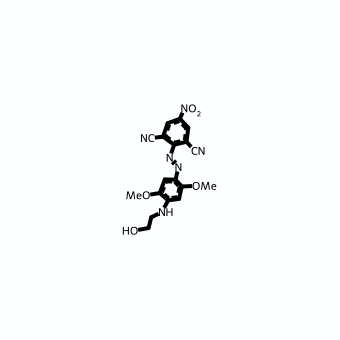 COc1cc(NCCO)c(OC)cc1N=Nc1c(C#N)cc([N+](=O)[O-])cc1C#N